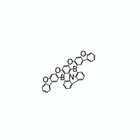 c1ccc2c(c1)oc1cc3c(cc12)B1c2c(cc4c5c2-n2c6c1cccc6c1cccc(c12)B5c1cc2c(cc1O4)oc1ccccc12)O3